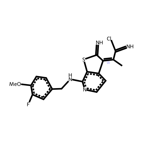 COc1ccc(CNc2nccc3c2SC(=N)/C3=C(/C)C(=N)Cl)cc1F